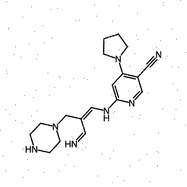 N#Cc1cnc(N/C=C(\C=N)CN2CCNCC2)cc1N1CCCC1